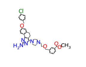 COC(=O)c1cccc(COCCN2CCN(c3nc(N)nc4c3CCc3cc(OCc5ccc(Cl)cc5)ccc3-4)CC2)c1